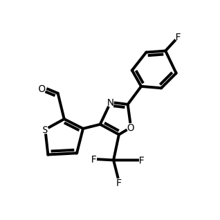 O=Cc1sccc1-c1nc(-c2ccc(F)cc2)oc1C(F)(F)F